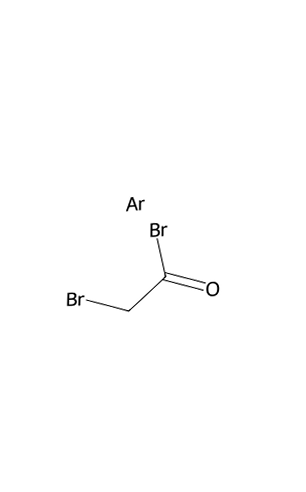 O=C(Br)CBr.[Ar]